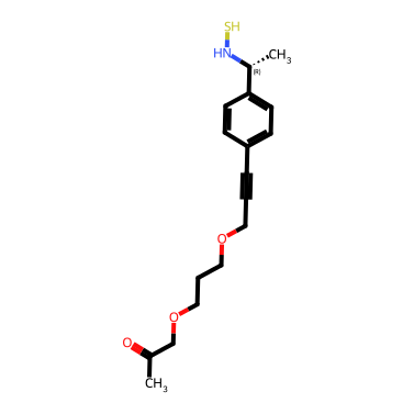 CC(=O)COCCCOCC#Cc1ccc([C@@H](C)NS)cc1